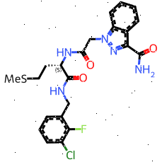 CSCC[C@H](NC(=O)Cn1nc(C(N)=O)c2ccccc21)C(=O)NCc1cccc(Cl)c1F